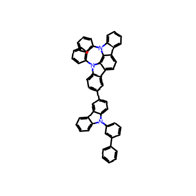 c1ccc(-c2cccc(-n3c4ccccc4c4cc(-c5ccc6c(c5)c5ccc7c8ccccc8n(-c8ccccc8)c7c5n6-c5ccccc5)ccc43)c2)cc1